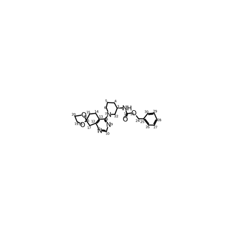 O=C(N[C@@H]1CCCN(c2ncnc3c2CCC2(C3)OCCO2)C1)OCc1ccccc1